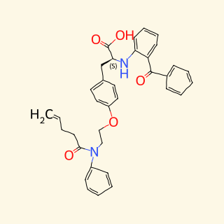 C=CCCC(=O)N(CCOc1ccc(C[C@H](Nc2ccccc2C(=O)c2ccccc2)C(=O)O)cc1)c1ccccc1